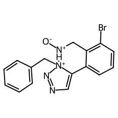 [O-][NH+]1Cc2c(Br)cccc2C2=CN=N[N+]21Cc1ccccc1